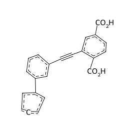 O=C(O)c1ccc(C(=O)O)c(C#Cc2cccc(-c3ccccc3)c2)c1